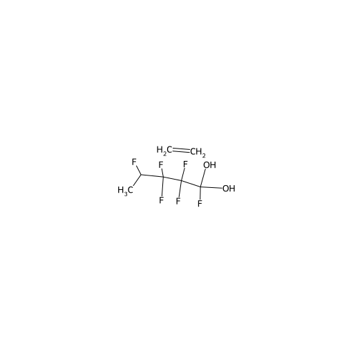 C=C.CC(F)C(F)(F)C(F)(F)C(O)(O)F